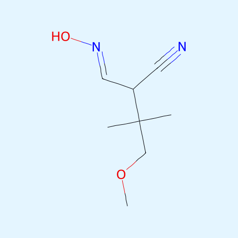 COCC(C)(C)C(C#N)C=NO